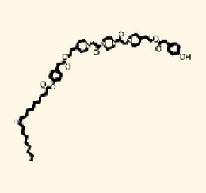 CCCCCCCC/C=C\CCCCCCCC(=O)Oc1ccc(CC(=O)OCCC2CCN(CC(=O)N3CCN(C(=O)CN4CCC(CCOC(=O)Cc5ccc(O)cc5)CC4)CC3)CC2)cc1